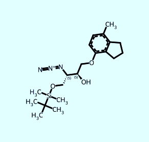 Cc1ccc(OC[C@@H](O)[C@H](CO[Si](C)(C)C(C)(C)C)N=[N+]=[N-])c2c1CCC2